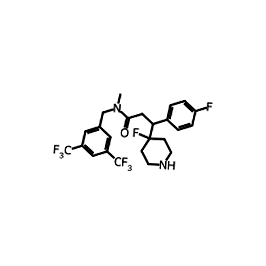 CN(Cc1cc(C(F)(F)F)cc(C(F)(F)F)c1)C(=O)CC(c1ccc(F)cc1)C1(F)CCNCC1